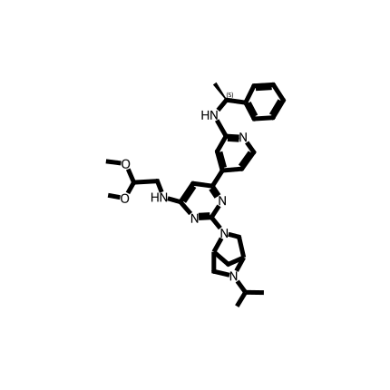 COC(CNc1cc(-c2ccnc(N[C@@H](C)c3ccccc3)c2)nc(N2CC3CC2CN3C(C)C)n1)OC